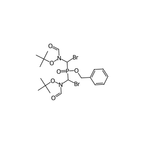 CC(C)(C)ON(C=O)C(Br)P(=O)(OCc1ccccc1)C(Br)N(C=O)OC(C)(C)C